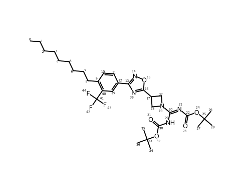 CCCCCCCCCc1ccc(-c2noc(C3CN(C(=NC(=O)OC(C)(C)C)NC(=O)OC(C)(C)C)C3)n2)cc1C(F)(F)F